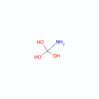 NC(O)(O)O